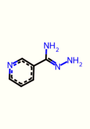 N/N=C(\N)c1cccnc1